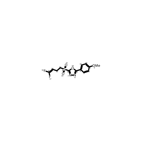 COc1ccc(-c2nnc(S(=O)(=O)CCC=C(F)F)o2)cc1